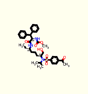 CC[C@@H](CCC[C@@H](CO)N(C(C)C)S(=O)(=O)c1ccc(C(C)=O)cc1)NC(=O)[C@@H](NC(=O)OC)C(c1ccccc1)c1ccccc1